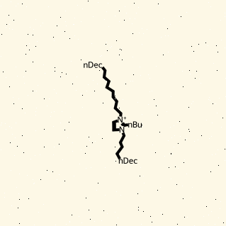 CCCCCCCCCCCCCCCCCCC[n+]1ccn(CCCCCCCCCCCCCC)c1CCCC